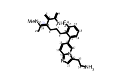 C=C(N)C(=C)/C(CCCc1c(F)cccc1-c1ccc2ncc(CCN)n2c1)=C(/C)NC